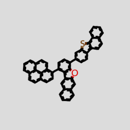 c1ccc2cc3c(cc2c1)oc1c(-c2ccc4c(c2)sc2c5ccccc5ccc42)ccc(-c2ccc4ccc5cccc6ccc2c4c56)c13